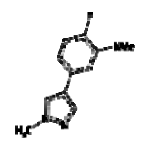 CNc1cc(-c2cnn(C)c2)ccc1F